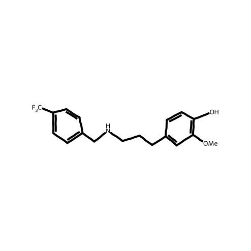 COc1cc(CCCNCc2ccc(C(F)(F)F)cc2)ccc1O